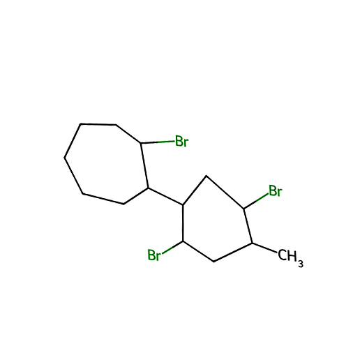 CC1CC(Br)C(C2CCCCCC2Br)CC1Br